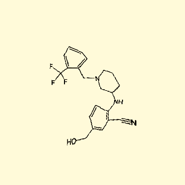 N#Cc1cc(CO)ccc1NC1CCCN(Cc2ccccc2C(F)(F)F)C1